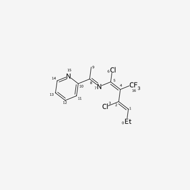 CC/C=C(Cl)/C(=C(Cl)\N=C(/C)c1ccccn1)C(F)(F)F